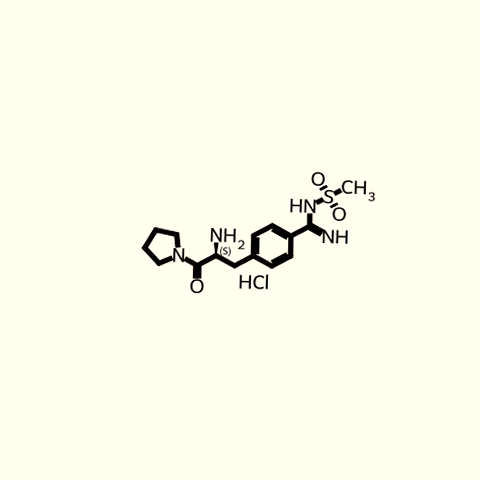 CS(=O)(=O)NC(=N)c1ccc(C[C@H](N)C(=O)N2CCCC2)cc1.Cl